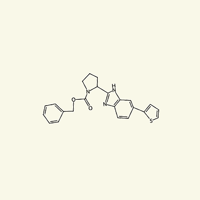 O=C(OCc1ccccc1)N1CCCC1c1nc2ccc(-c3cccs3)cc2[nH]1